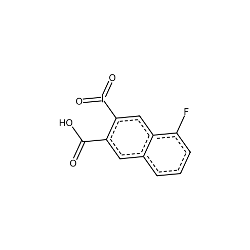 O=C(O)c1cc2cccc(F)c2cc1I(=O)=O